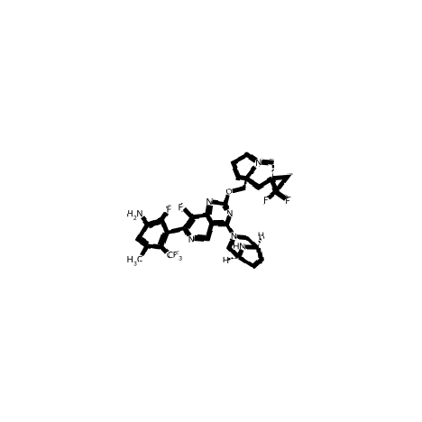 Cc1cc(N)c(F)c(-c2ncc3c(N4C[C@H]5CC[C@@H](C4)N5)nc(OC[C@@]45CCCN4C[C@@]4(CC4(F)F)C5)nc3c2F)c1C(F)(F)F